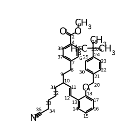 COC(=O)c1ccc(CCC(C=Cc2ccccc2OCc2ccc(C(C)(C)C)cc2)CCCCC#N)cc1